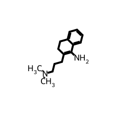 CN(C)CCCC1=C(N)c2ccccc2CC1